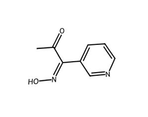 CC(=O)C(=NO)c1cccnc1